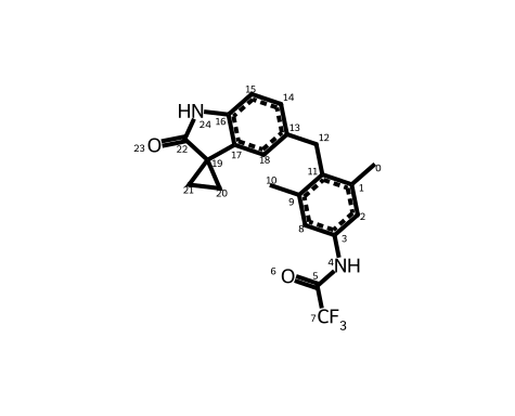 Cc1cc(NC(=O)C(F)(F)F)cc(C)c1Cc1ccc2c(c1)C1(CC1)C(=O)N2